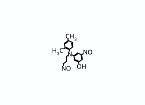 Cc1ccc(N(CCCN=O)c2cc(O)cc(N=O)c2)c(C)c1